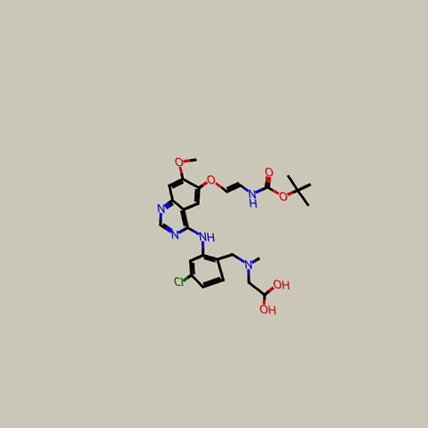 COc1cc2ncnc(Nc3cc(Cl)ccc3CN(C)CC(O)O)c2cc1O/C=C/NC(=O)OC(C)(C)C